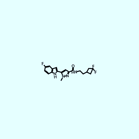 Cn1nc(C(=O)NCCC2CC(F)(F)C2)cc1-c1cc2cc(F)ccc2[nH]1